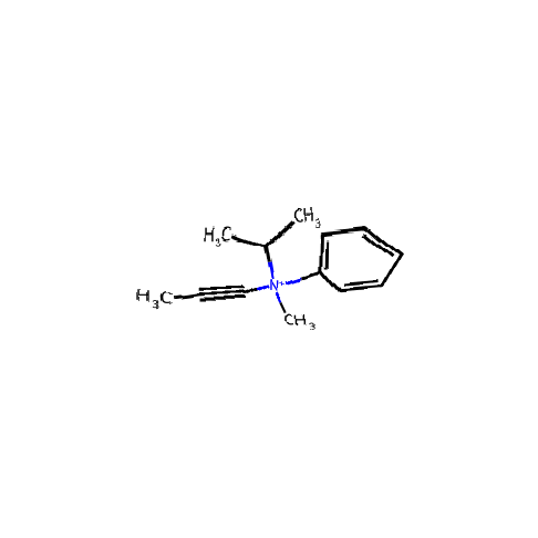 CC#C[N+](C)(c1ccccc1)C(C)C